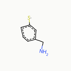 NCc1cccc([S])c1